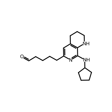 O=CCCCCc1cc2c(c(NC3CCCC3)n1)NCCC2